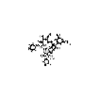 Cc1cc(C)cc(-c2[nH]c3sc(C(C)(C)C(=O)N4CCCC4)cc3c2CCN(C#N)C(=N)N2CCC(c3ccncc3)C2)c1